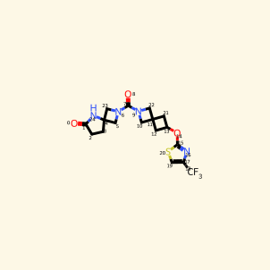 O=C1CCC2(CN(C(=O)N3CC4(CC(Oc5nc(C(F)(F)F)cs5)C4)C3)C2)N1